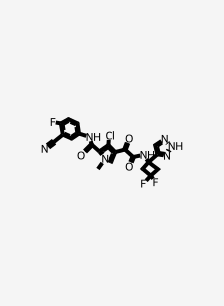 Cn1cc(C(=O)C(=O)NC2(c3cn[nH]n3)CC(F)(F)C2)c(Cl)c1C(=O)Nc1ccc(F)c(C#N)c1